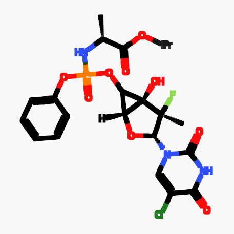 CC(C)OC(=O)[C@@H](C)NP(=O)(Oc1ccccc1)OC1[C@H]2O[C@@H](n3cc(Cl)c(=O)[nH]c3=O)[C@](C)(F)[C@@]12O